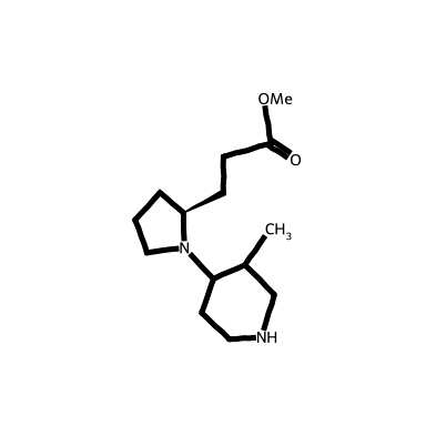 COC(=O)CC[C@@H]1CCCN1C1CCNCC1C